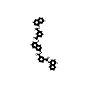 O=C(Oc1ccc2c(OC(=O)c3cccc(C(=O)Oc4cccc5ccccc45)c3)cccc2c1)c1cccc(C(=O)Oc2cccc3ccccc23)c1